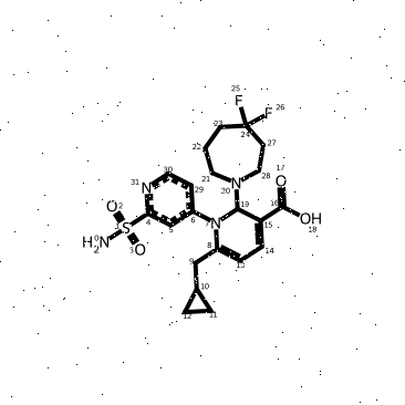 NS(=O)(=O)c1cc(N2C(CC3CC3)=CC=C(C(=O)O)C2N2CCCC(F)(F)CC2)ccn1